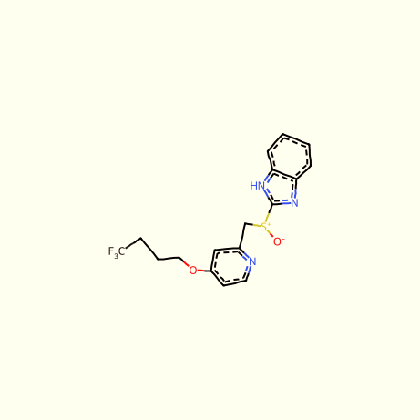 [O-][S+](Cc1cc(OCCCC(F)(F)F)ccn1)c1nc2ccccc2[nH]1